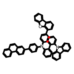 c1ccc(N(c2ccc(-c3ccc4c(ccc5ccccc54)c3)cc2)c2ccc(-c3cccc4c3oc3ccccc34)cc2)c(-c2ccccc2-n2c3ccccc3c3ccccc32)c1